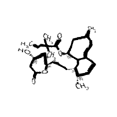 C=C1C=C2C=C[C@H](C)[C@H](CC[C@@H]3C[C@@H](O)CC(=O)O3)C2[C@@H](OC(=O)C(C)(C)CC)C1